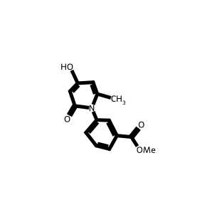 COC(=O)c1cccc(-n2c(C)cc(O)cc2=O)c1